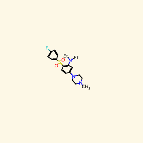 CCN(CC)c1cc(N2CCN(C)CC2)ccc1S(=O)(=O)c1ccc(F)cc1